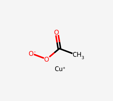 CC(=O)O[O-].[Cu+]